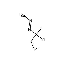 CCC(C)N=NC(C)(Cl)CC(C)C